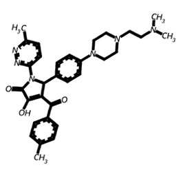 Cc1ccc(C(=O)C2=C(O)C(=O)N(c3ccc(C)nn3)C2c2ccc(N3CCN(CCN(C)C)CC3)cc2)cc1